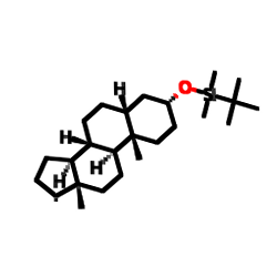 CC(C)(C)[Si](C)(C)O[C@@H]1CC[C@@]2(C)[C@H](CC[C@@H]3[C@@H]2CC[C@]2(C)[CH]CC[C@@H]32)C1